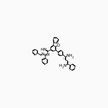 N=C(/N=C(\N=C\c1ccccc1)c1ccccc1)c1cc(-c2ccc(/C(N)=C/C=C(\N)c3ccccc3)cc2)c2oc3ccccc3c2c1